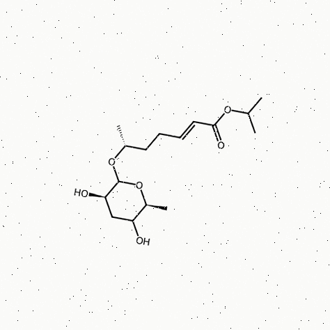 CC(C)OC(=O)/C=C/CC[C@@H](C)OC1O[C@@H](C)C(O)C[C@H]1O